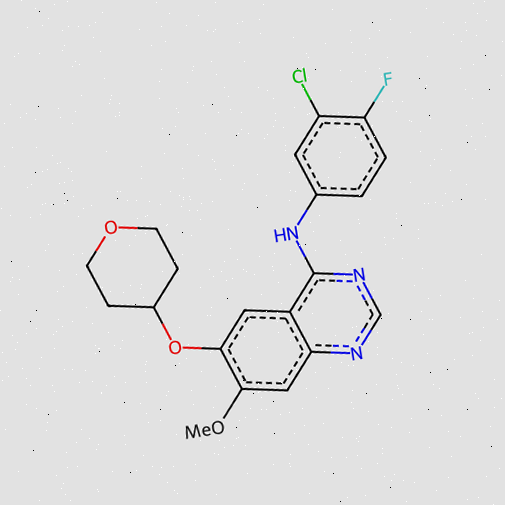 COc1cc2ncnc(Nc3ccc(F)c(Cl)c3)c2cc1OC1CCOCC1